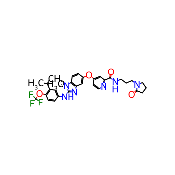 CC(C)c1cc(Nc2nc3cc(Oc4ccnc(C(=O)NCCCN5CCCC5=O)c4)ccc3n2C)ccc1OC(F)(F)F